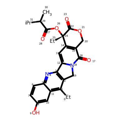 CCc1c2c(nc3ccc(O)cc13)-c1cc3c(c(=O)n1C2)COC(=O)[C@@]3(CC)OC(=O)C(C)C(C)C